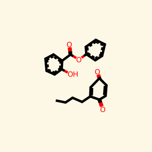 CCCCC1=CC(=O)C=CC1=O.O=C(Oc1ccccc1)c1ccccc1O